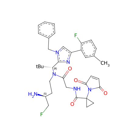 Cc1ccc(F)c(-c2cn(Cc3ccccc3)c([C@H](N(CC[C@H](N)CF)C(=O)CNC(=O)C3(N4C(=O)C=CC4=O)CC3)C(C)(C)C)n2)c1